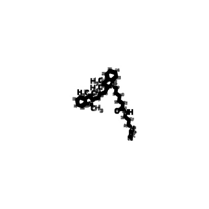 CN1/C(=C/C=C/C2=[N+](CCCCCC(=O)NCCCN=[N+]=[N-])c3ccccc3C2(C)C)C(C)(C)c2ccccc21